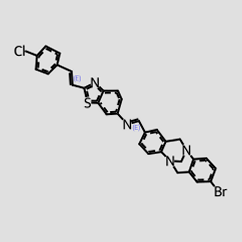 Clc1ccc(/C=C/c2nc3ccc(/N=C/c4ccc5c(c4)CN4CN5Cc5cc(Br)ccc54)cc3s2)cc1